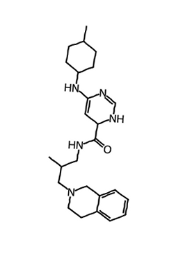 CC1CCC(NC2=CC(C(=O)NCC(C)CN3CCc4ccccc4C3)NC=N2)CC1